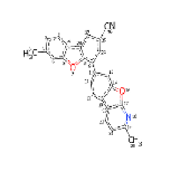 Cc1ccc2c(c1)oc1c(-c3ccc4c(c3)oc3nc(C)ccc34)cc(C#N)cc12